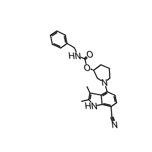 Cc1[nH]c2c(C#N)ccc(N3CCC[C@H](OC(=O)NCc4ccccc4)C3)c2c1C